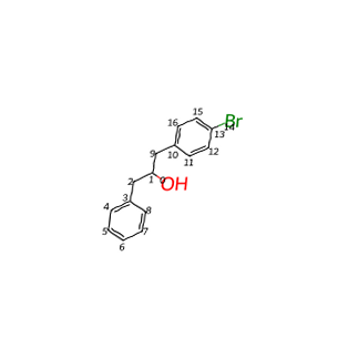 OC(Cc1ccccc1)Cc1ccc(Br)cc1